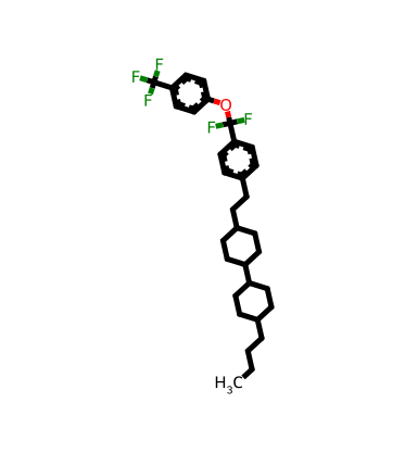 CCCCC1CCC(C2CCC(CCc3ccc(C(F)(F)Oc4ccc(C(F)(F)F)cc4)cc3)CC2)CC1